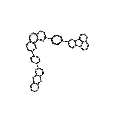 c1ccc2nc3ccc(-c4ccc(-c5ccc6ccc7ccc(-c8ccc(-c9ccc%10c(c9)-c9cccc%11cccc-%10c9%11)cc8)nc7c6n5)cc4)cc3cc2c1